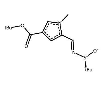 Cn1cc(C(=O)OC(C)(C)C)cc1C=N[S@@+]([O-])C(C)(C)C